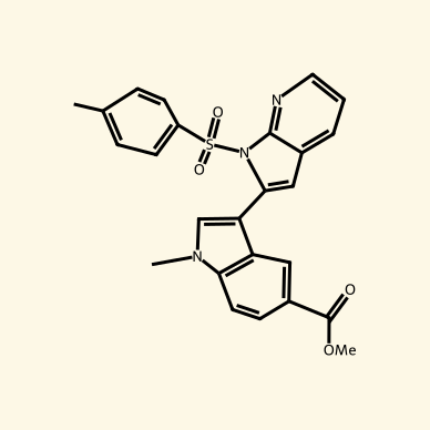 COC(=O)c1ccc2c(c1)c(-c1cc3cccnc3n1S(=O)(=O)c1ccc(C)cc1)cn2C